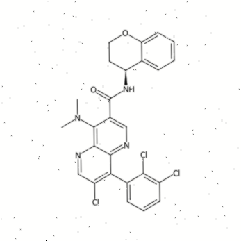 CN(C)c1c(C(=O)N[C@H]2CCOc3ccccc32)cnc2c(-c3cccc(Cl)c3Cl)c(Cl)cnc12